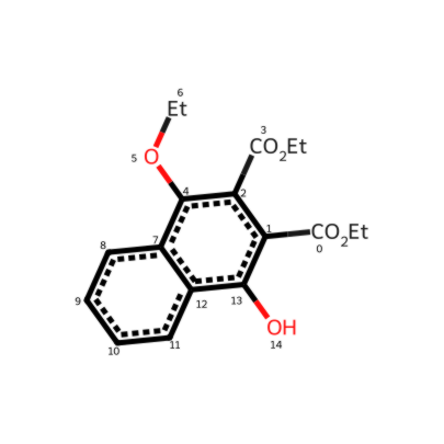 CCOC(=O)c1c(C(=O)OCC)c(OCC)c2ccccc2c1O